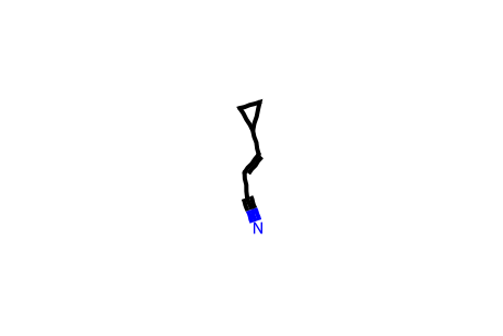 N#C/C=C/C1CC1